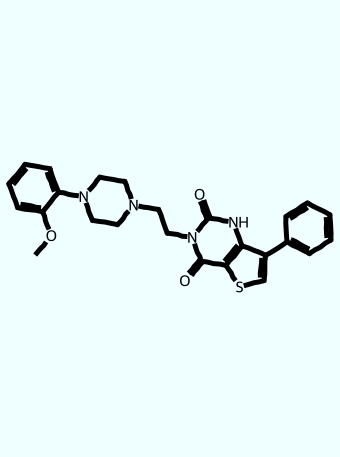 COc1ccccc1N1CCN(CCn2c(=O)[nH]c3c(-c4ccccc4)csc3c2=O)CC1